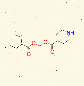 CCC(CC)C(=O)OCOC(=O)C1CCNCC1